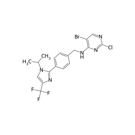 CC(C)n1cc(C(F)(F)F)nc1-c1ccc(CNc2nc(Cl)ncc2Br)cc1